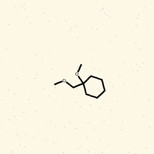 COCC1(OC)CCCCC1